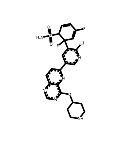 NS(=O)(=O)C1C=CC(F)=CC1(F)c1cc(-c2ccc3ncnc(OC4CCNCC4)c3n2)cnc1Cl